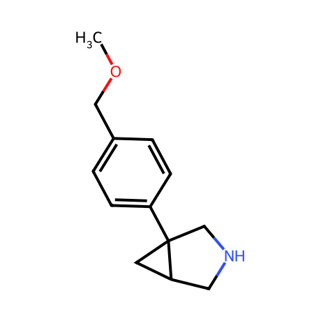 COCc1ccc(C23CNCC2C3)cc1